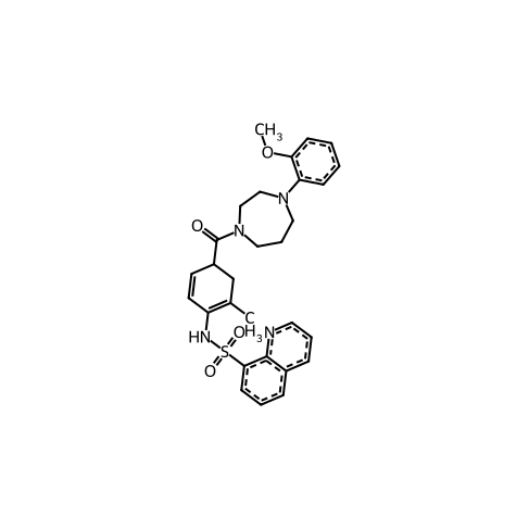 COc1ccccc1N1CCCN(C(=O)C2C=CC(NS(=O)(=O)c3cccc4cccnc34)=C(C)C2)CC1